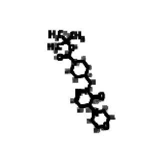 CC(C)(C)OC(=O)N1CCC(Cn2nccc(N3CCOCC3)c2=O)CC1